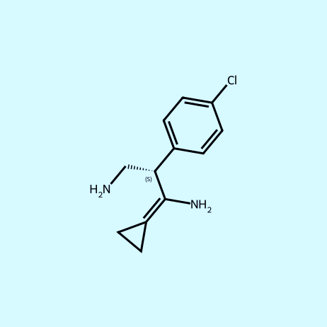 NC[C@@H](C(N)=C1CC1)c1ccc(Cl)cc1